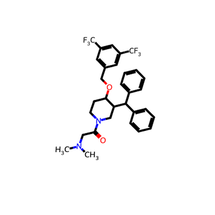 CN(C)CC(=O)N1CCC(OCc2cc(C(F)(F)F)cc(C(F)(F)F)c2)C(C(c2ccccc2)c2ccccc2)C1